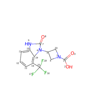 O=C(O)N1CC(n2c(=O)[nH]c3cccc(C(F)(F)F)c32)C1